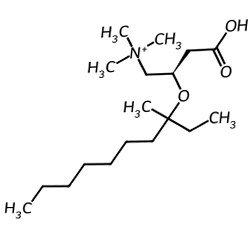 CCCCCCCC(C)(CC)O[C@H](CC(=O)O)C[N+](C)(C)C